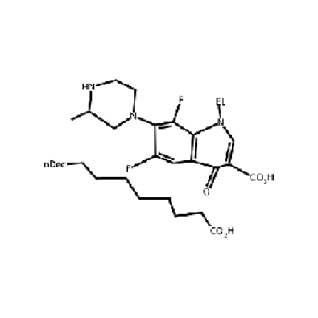 CCCCCCCCCCCCCCCCCC(=O)O.CCn1cc(C(=O)O)c(=O)c2cc(F)c(N3CCNC(C)C3)c(F)c21